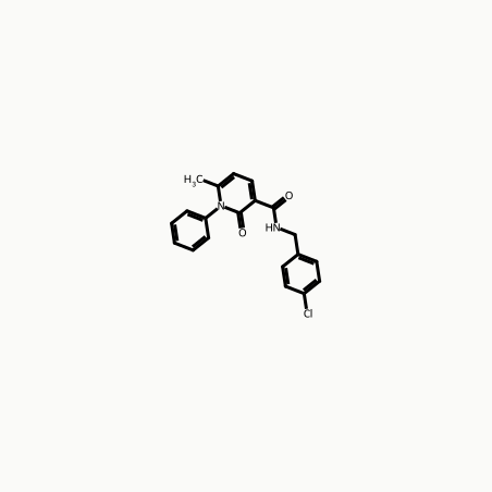 Cc1ccc(C(=O)NCc2ccc(Cl)cc2)c(=O)n1-c1ccccc1